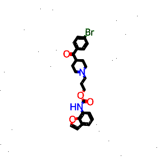 O=C(Nc1cccc2ccoc12)OCCCN1CCC(C(=O)c2ccc(Br)cc2)CC1